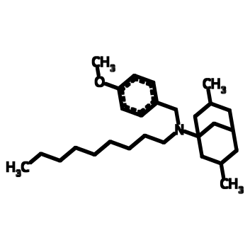 CCCCCCCCCN(Cc1ccc(OC)cc1)C12CC(C)CC(CC(C)C1)C2